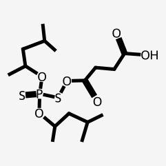 CC(C)CC(C)OP(=S)(OC(C)CC(C)C)SOC(=O)CCC(=O)O